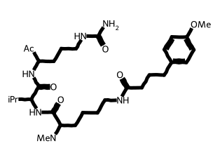 CNC(CCCCNC(=O)CCCc1ccc(OC)cc1)C(=O)NC(C(=O)NC(CCCNC(N)=O)C(C)=O)C(C)C